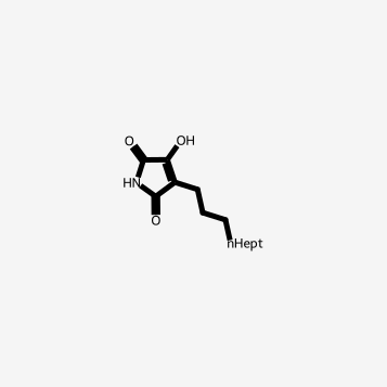 CCCCCCCCCCC1=C(O)C(=O)NC1=O